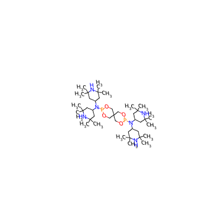 CC1(C)CC(N(C2CC(C)(C)NC(C)(C)C2)P2OCC3(CO2)COP(N(C2CC(C)(C)NC(C)(C)C2)C2CC(C)(C)NC(C)(C)C2)OC3)CC(C)(C)N1